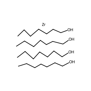 CCCCCCCO.CCCCCCCO.CCCCCCCO.CCCCCCCO.[Zr]